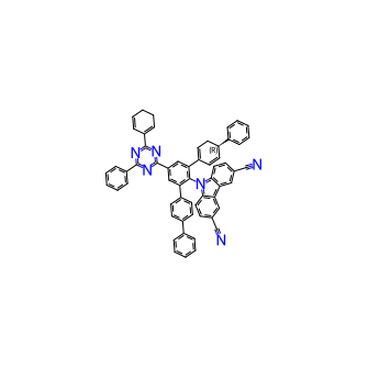 N#Cc1ccc2c(c1)c1cc(C#N)ccc1n2-c1c(C2=CC[C@@H](c3ccccc3)C=C2)cc(-c2nc(C3=CCCC=C3)nc(-c3ccccc3)n2)cc1-c1ccc(-c2ccccc2)cc1